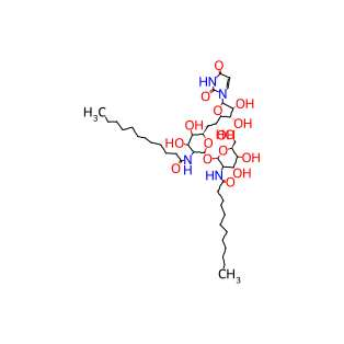 CCCCCCCCCCCC(=O)NC1C(O)C(O)[C@H](CO)O[C@@H]1O[C@@H]1O[C@H](C[C@@H](O)[C@H]2O[C@@H](n3ccc(=O)[nH]c3=O)[C@H](O)[C@@H]2O)C(O)C(O)C1NC(=O)CCCCCCCCCCC